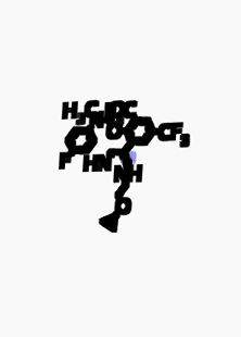 CN(C(=O)Oc1c(/C(C=N)=C/NCCOC2CC2)cc(C(F)(F)F)cc1C(F)(F)F)c1ccc(F)cc1